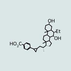 CC[C@@H]1C2C[C@H](O)CCC2(C)C2CCC3(C)C(CC[C@@H]3[C@H](C)CC3CC3c3ccc(C(=O)O)cc3)C2[C@@H]1O